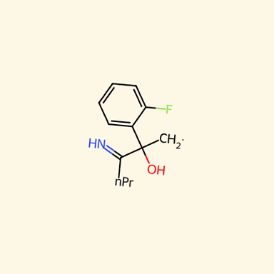 [CH2]C(O)(C(=N)CCC)c1ccccc1F